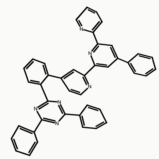 c1ccc(-c2cc(-c3ccccn3)nc(-c3cc(-c4ccccc4-c4nc(-c5ccccc5)nc(-c5ccccc5)n4)ccn3)c2)cc1